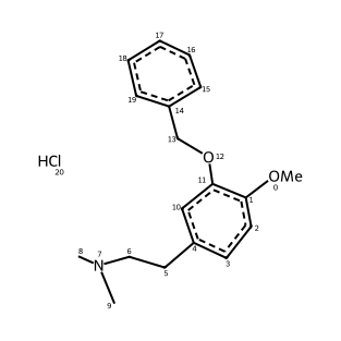 COc1ccc(CCN(C)C)cc1OCc1ccccc1.Cl